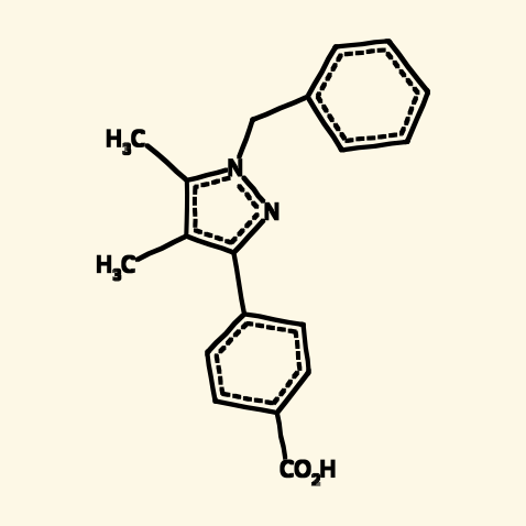 Cc1c(-c2ccc(C(=O)O)cc2)nn(Cc2ccccc2)c1C